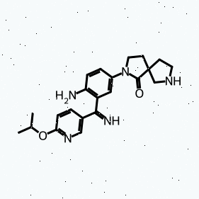 CC(C)Oc1ccc(C(=N)c2cc(N3CCC4(CCNC4)C3=O)ccc2N)cn1